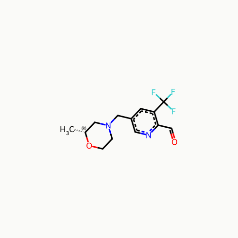 C[C@@H]1CN(Cc2cnc(C=O)c(C(F)(F)F)c2)CCO1